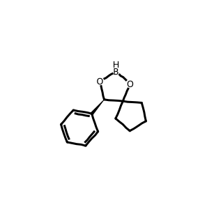 B1O[C@H](c2ccccc2)C2(CCCC2)O1